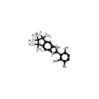 CC(C)c1ccc(Br)c(C(C)C)c1-c1nc2cc3c(cc2[nH]1)C(C)(C)C(C)(C)C3(C)C